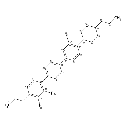 CCCc1ccc(-c2ccc(-c3ccc(C4CCC(CCC)OC4)c(F)c3)cc2)c(F)c1F